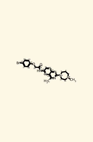 Cc1nc(N2CCCN(C)CC2)nc2ncc(NC(=O)COc3ccc(Br)cc3)nc12